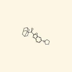 O=C(c1cc2ccc(N3CCCC3)cc2o1)C12CC3CC(CC(C3)C1)C2